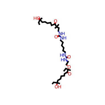 CCC(C)(O)CCCCCC(=O)C(C)(C)CCNC(=O)NCCCCCCNC(=O)NCCOC(C)(CC)C(=O)CCCCCC(C)(O)CC